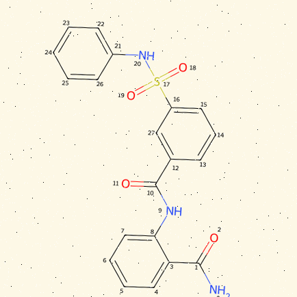 NC(=O)c1ccccc1NC(=O)c1cccc(S(=O)(=O)Nc2ccccc2)c1